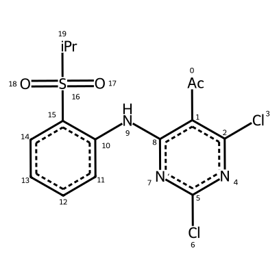 CC(=O)c1c(Cl)nc(Cl)nc1Nc1ccccc1S(=O)(=O)C(C)C